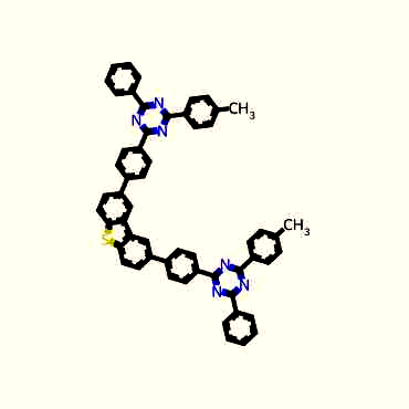 Cc1ccc(-c2nc(-c3ccccc3)nc(-c3ccc(-c4ccc5sc6ccc(-c7ccc(-c8nc(-c9ccccc9)nc(-c9ccc(C)cc9)n8)cc7)cc6c5c4)cc3)n2)cc1